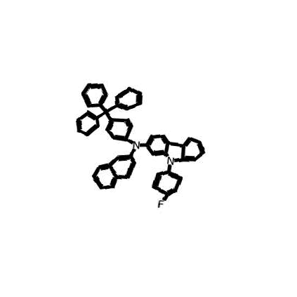 Fc1ccc(-n2c3ccccc3c3ccc(N(c4ccc(C(c5ccccc5)(c5ccccc5)c5ccccc5)cc4)c4ccc5ccccc5c4)cc32)cc1